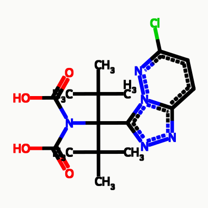 CC(C)(C)C(c1nnc2ccc(Cl)nn12)(N(C(=O)O)C(=O)O)C(C)(C)C